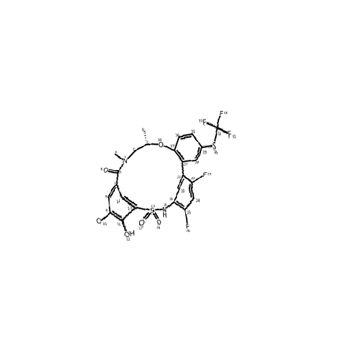 C[C@H]1CN(C)C(=O)c2cc(Cl)c(O)c(c2)S(=O)(=O)Nc2cc(c(F)cc2F)-c2cc(SC(F)(F)F)ccc2O1